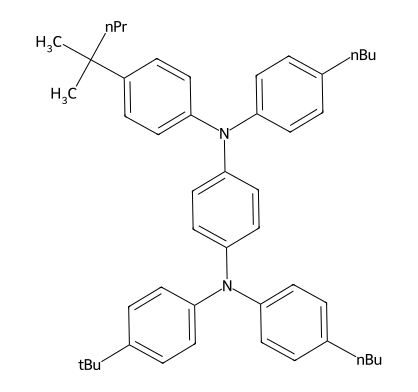 CCCCc1ccc(N(c2ccc(N(c3ccc(CCCC)cc3)c3ccc(C(C)(C)CCC)cc3)cc2)c2ccc(C(C)(C)C)cc2)cc1